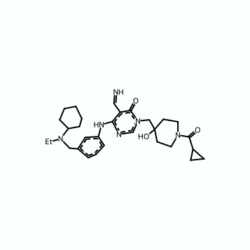 CCN(Cc1cccc(Nc2ncn(CC3(O)CCN(C(=O)C4CC4)CC3)c(=O)c2C=N)c1)C1CCCCC1